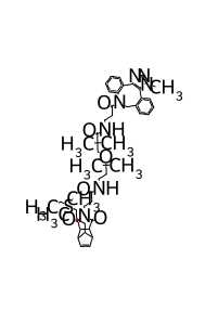 CCS(C)(C)CCCC1C2C=CC1C1C(=O)N(CCC(=O)NCCC(C)(C)OCC(C)(C)C(=O)NCCC(=O)N3Cc4ccccc4-c4c(nnn4C)-c4ccccc43)C(=O)C21